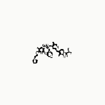 Cc1cnc(Cc2ccn3c(C(F)F)nnc3c2C)cc1CN1CC2(CCOCC2)Oc2nc(OCCN3CCCC3)c(C)cc2S1(=O)=O